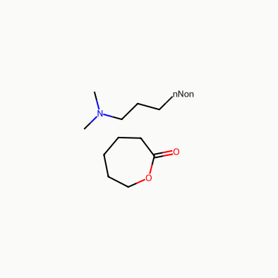 CCCCCCCCCCCCN(C)C.O=C1CCCCCO1